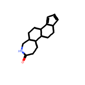 O=C1CCC2C(CCC3C4=CC=CC4CCC32)CN1